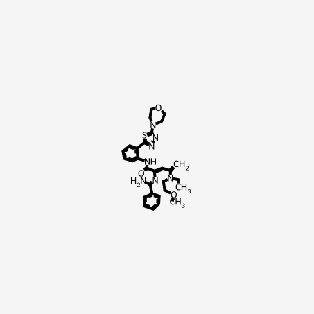 C=C(/C=C(\N=C(/N)c1ccccc1)C(=O)Nc1ccccc1-c1nnc(N2CCOCC2)s1)N(CC)CCOC